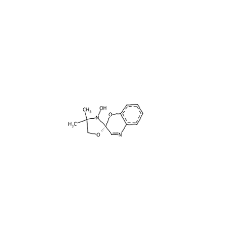 CC1(C)CO[C@]2(C=Nc3ccccc3O2)N1O